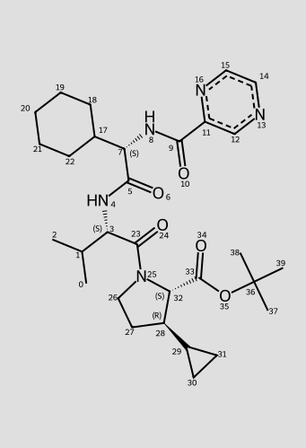 CC(C)[C@H](NC(=O)[C@@H](NC(=O)c1cnccn1)C1CCCCC1)C(=O)N1CC[C@H](C2CC2)[C@H]1C(=O)OC(C)(C)C